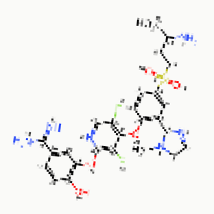 CN1CC=NC1c1cc(S(=O)(=O)CCC(N)C(=O)O)ccc1Oc1c(F)cnc(Oc2cc(C(=N)N)ccc2O)c1F